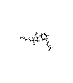 C[C@@H](NS(=O)(=O)CCCO)c1cccc(OCC2CC2)c1